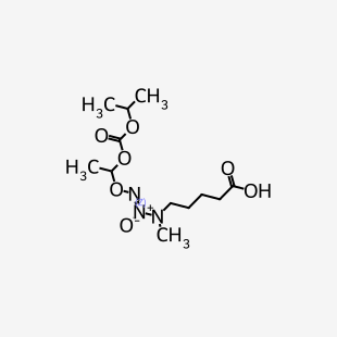 CC(C)OC(=O)OC(C)O/N=[N+](\[O-])N(C)CCCCC(=O)O